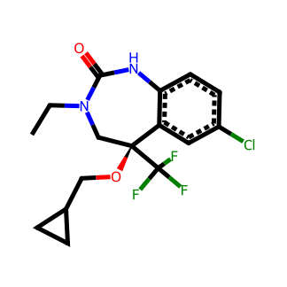 CCN1C[C@@](OCC2CC2)(C(F)(F)F)c2cc(Cl)ccc2NC1=O